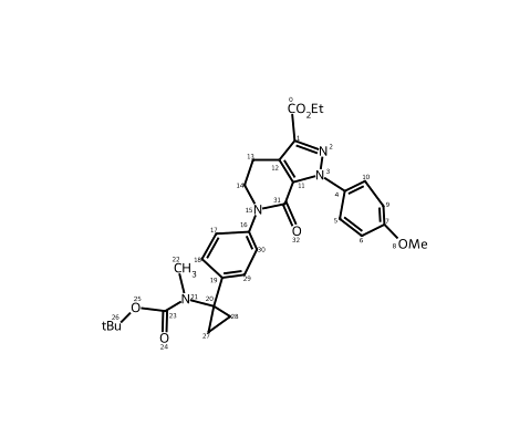 CCOC(=O)c1nn(-c2ccc(OC)cc2)c2c1CCN(c1ccc(C3(N(C)C(=O)OC(C)(C)C)CC3)cc1)C2=O